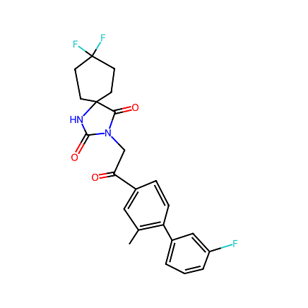 Cc1cc(C(=O)CN2C(=O)NC3(CCC(F)(F)CC3)C2=O)ccc1-c1cccc(F)c1